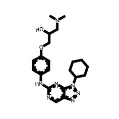 CN(C)CC(O)COc1ccc(Nc2ncc3nnn(C4CCCCC4)c3n2)cc1